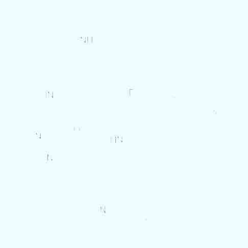 CNCCNc1nnc(-c2cn(C)c(=O)c(C)c2Nc2ccc(Br)cc2F)o1